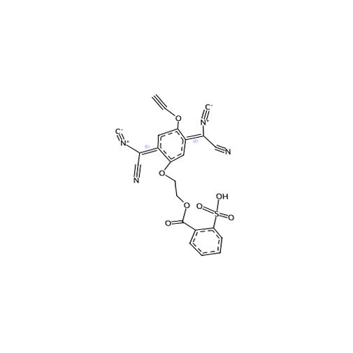 [C-]#[N+]/C(C#N)=c1/cc(OCCOC(=O)c2ccccc2S(=O)(=O)O)/c(=C(\C#N)[N+]#[C-])cc1OC#C